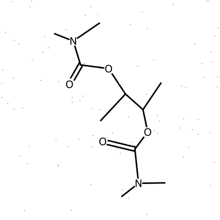 CC(OC(=O)N(C)C)C(C)OC(=O)N(C)C